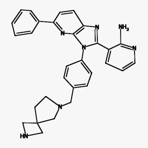 Nc1ncccc1-c1nc2ccc(-c3ccccc3)nc2n1-c1ccc(CN2CCC3(CNC3)C2)cc1